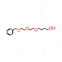 OCCCCOCCOCCOCc1ccccc1